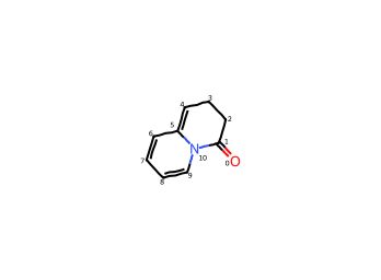 O=C1CCC=C2C=CC=CN12